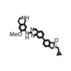 COc1cc2c(cc1Nc1ncc3ccc(-c4ccc5c(c4)C(=O)N(CC4CC4)C5)cc3n1)CNCC2